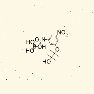 CC(C)(O)C(C)(C)Oc1cc([N+](=O)[O-])cc([N+](=O)[O-])c1.OB(O)O